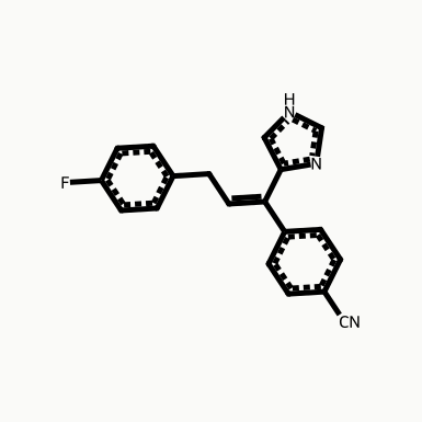 N#Cc1ccc(/C(=C/Cc2ccc(F)cc2)c2c[nH]cn2)cc1